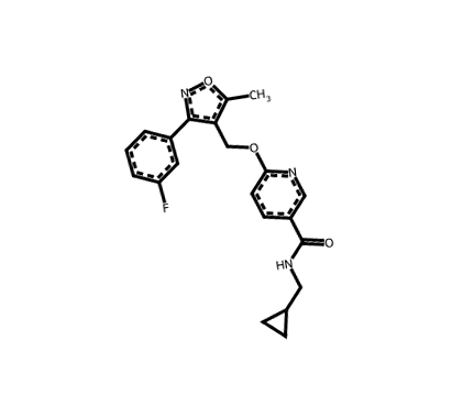 Cc1onc(-c2cccc(F)c2)c1COc1ccc(C(=O)NCC2CC2)cn1